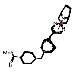 CSC(=O)[C@H]1CC[C@@H](Cc2ccc(-c3cnc(N4C5CCC4CN(I)C5)nc3)cc2)CC1